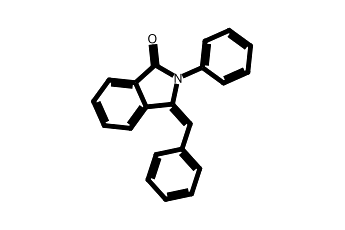 O=C1c2ccccc2C(=Cc2ccccc2)N1c1ccccc1